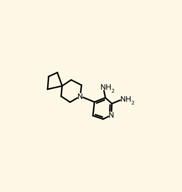 Nc1nccc(N2CCC3(CCC3)CC2)c1N